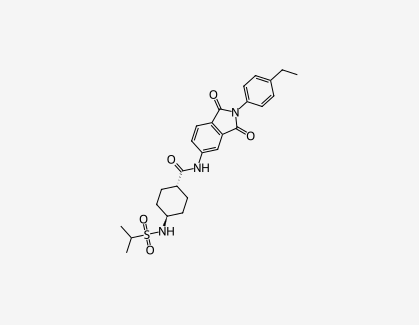 CCc1ccc(N2C(=O)c3ccc(NC(=O)[C@H]4CC[C@H](NS(=O)(=O)C(C)C)CC4)cc3C2=O)cc1